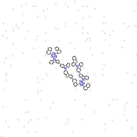 c1ccc2c(-c3nc(-c4cccc5ccccc45)nc(-n4c5ccccc5c5cc(-c6ccc7c(c6)c6ccccc6n7-c6ccc7sc8cc(-c9ccc%10c(-c%11nc(-c%12cccc%13ccccc%12%13)nc(-n%12c%13ccccc%13c%13cc(-c%14ccc%15c(c%14)c%14ccccc%14n%15-c%14cccc%15c%14sc%14ccccc%14%15)ccc%13%12)n%11)cccc%10c9)ccc8c7c6)ccc54)n3)cccc2c1